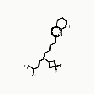 CC(=O)[C@@H](N)CCN(CCCCc1ccc2c(n1)NCCC2)C1CC(F)(F)C1